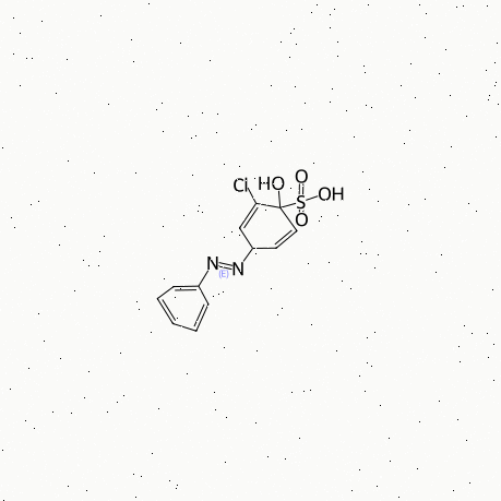 O=S(=O)(O)C1(O)C=CC(/N=N/c2ccccc2)C=C1Cl